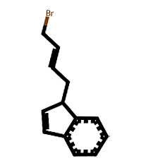 BrCC=CCC1C=Cc2cc[c]cc21